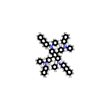 C1=C(c2c3cc(N(c4ccccc4)c4ccc5cc6ccccc6cc5c4)ccc3c(-c3ccc(N(c4ccccc4)c4ccc5ccccc5c4)cc3)c3cc(N(c4ccccc4)c4ccc5cc6ccccc6cc5c4)ccc23)CCC(N(c2ccccc2)c2ccc3ccccc3c2)=C1